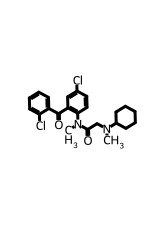 CN(C(=O)CN(C)C1CCCCC1)c1ccc(Cl)cc1C(=O)c1ccccc1Cl